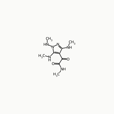 CNC(=O)C(=O)c1c(NC)nn(NC)c1NC